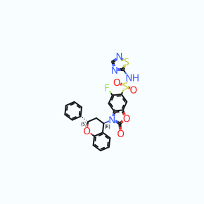 O=c1oc2cc(S(=O)(=O)Nc3ncns3)c(F)cc2n1[C@@H]1C[C@@H](c2ccccc2)Oc2ccccc21